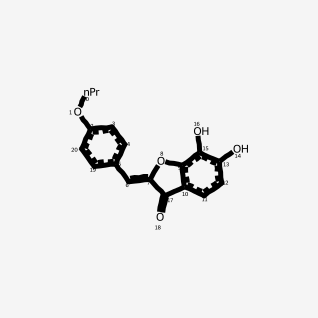 CCCOc1ccc(C=C2Oc3c(ccc(O)c3O)C2=O)cc1